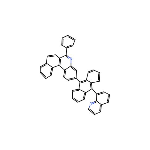 c1ccc(-c2nc3cc(-c4c5ccccc5c(-c5cccc6cccnc56)c5ccccc45)ccc3c3c2ccc2ccccc23)cc1